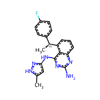 Cc1cc(Nc2nc(N)nc3cccc([C@@H](C)c4ccc(F)cc4)c23)n[nH]1